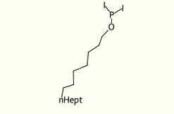 CCCCCCCCCCCCCCOP(I)I